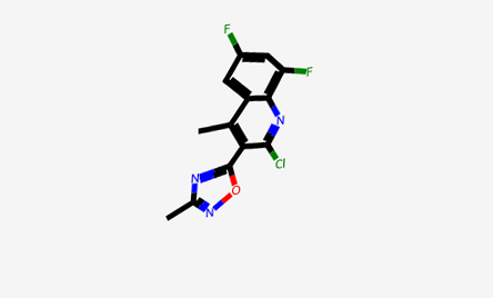 Cc1noc(-c2c(Cl)nc3c(F)cc(F)cc3c2C)n1